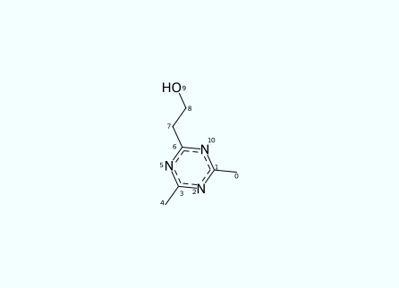 Cc1nc(C)nc(CCO)n1